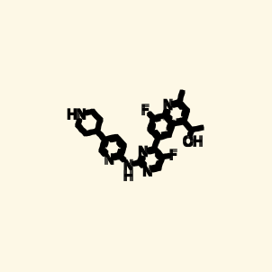 Cc1cc(C(C)O)c2cc(-c3nc(Nc4ccc(C5CCNCC5)cn4)ncc3F)cc(F)c2n1